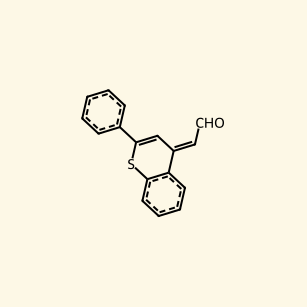 O=C/C=C1\C=C(c2ccccc2)Sc2ccccc21